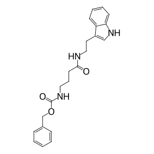 O=C(CCCNC(=O)OCc1ccccc1)NCCc1c[nH]c2ccccc12